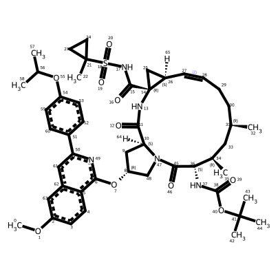 COc1ccc2c(O[C@@H]3C[C@H]4C(=O)N[C@]5(C(=O)NS(=O)(=O)C6(C)CC6)C[C@H]5/C=C\CC[C@@H](C)C[C@@H](C)[C@H](NC(=O)OC(C)(C)C)C(=O)N4C3)nc(-c3ccc(OC(C)C)cc3)cc2c1